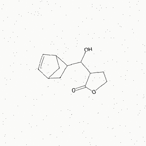 O=C1OCCC1C(O)C1CC2C=CC1C2